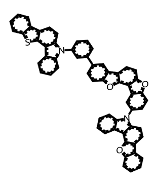 c1cc(-c2ccc3oc4c(ccc5oc6ccc(-n7c8ccccc8c8c9oc%10ccccc%10c9ccc87)cc6c54)c3c2)cc(-n2c3ccccc3c3c4sc5ccccc5c4ccc32)c1